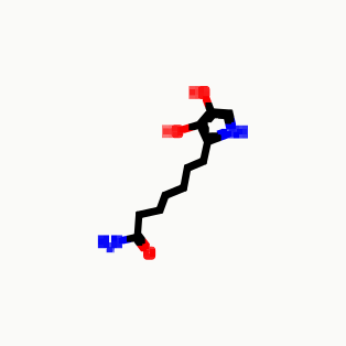 NC(=O)CCCCCCc1[nH]cc(O)c1O